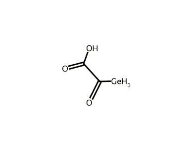 O=C(O)[C](=O)[GeH3]